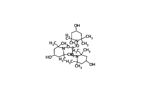 CC1(C)CC(O)CC(C)(C)N1OP(ON1C(C)(C)CC(O)CC1(C)C)ON1C(C)(C)CC(O)CC1(C)C